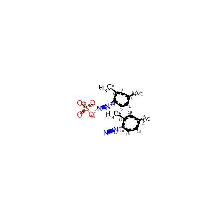 CC(=O)c1ccc([N+]#N)c(C)c1.CC(=O)c1ccc([N+]#N)c(C)c1.O=S(=O)([O-])[O-]